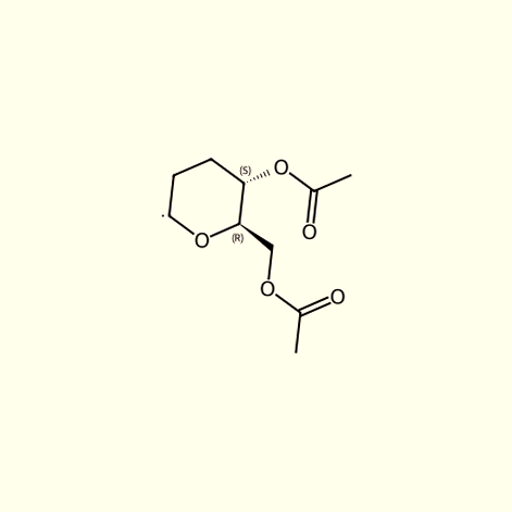 CC(=O)OC[C@H]1O[CH]CC[C@@H]1OC(C)=O